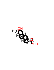 C[C@@]1(O)CC[C@H]2[C@H](CC[C@@H]3[C@@H]2CC[C@]2(C)[C@@H](C(=O)CO)CC[C@@H]32)C1